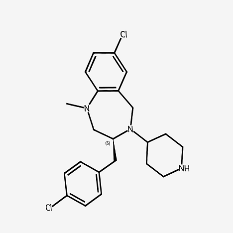 CN1C[C@H](Cc2ccc(Cl)cc2)N(C2CCNCC2)Cc2cc(Cl)ccc21